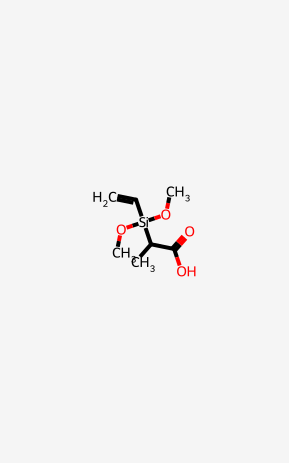 C=C[Si](OC)(OC)C(C)C(=O)O